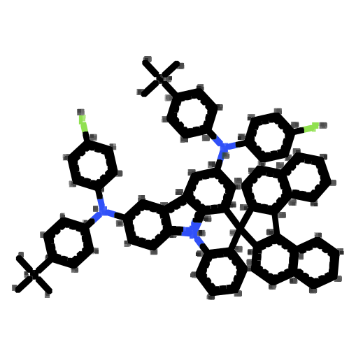 C[Si](C)(C)c1ccc(N(c2ccc(F)cc2)c2ccc3c(c2)c2cc(N(c4ccc(F)cc4)c4ccc([Si](C)(C)C)cc4)cc4c2n3-c2ccccc2C42c3ccc4ccccc4c3-c3c2ccc2ccccc32)cc1